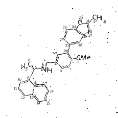 COc1ccc(CN[C@H](C)c2cccc3ccccc23)cc1-c1ccc2oc(C)nc2c1